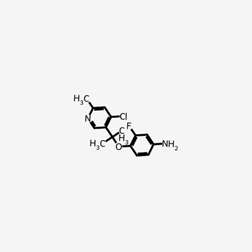 Cc1cc(Cl)c(C(C)(C)Oc2ccc(N)cc2F)cn1